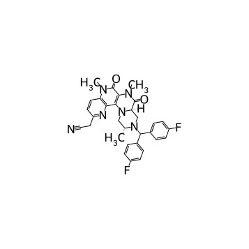 C[C@@H]1CN2c3c(c(=O)n(C)c4ccc(CC#N)nc34)N(C)C(=O)[C@H]2CN1C(c1ccc(F)cc1)c1ccc(F)cc1